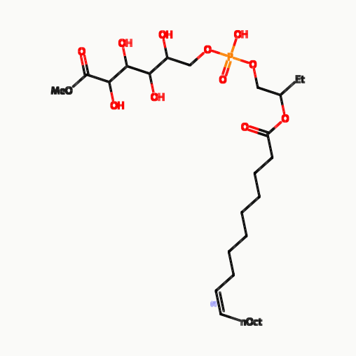 CCCCCCCC/C=C\CCCCCCCC(=O)OC(CC)COP(=O)(O)OCC(O)C(O)C(O)C(O)C(=O)OC